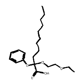 CCCCCCCCCC(OCCOCC)(Oc1ccccc1)C(=O)O